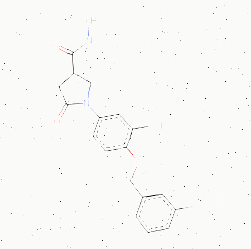 CNC(=O)C1CC(=O)N(c2ccc(OCc3cccc(F)c3)c(C)c2)C1